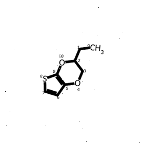 CCC1COc2ccsc2O1